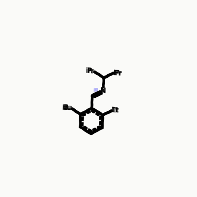 CCc1cccc(C(C)CC)c1/C=N/C(C(C)C)C(C)C